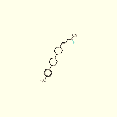 N#CC(F)=CC=CC1CCC(C2CCC(c3ccc(C(F)(F)F)cc3)CC2)CC1